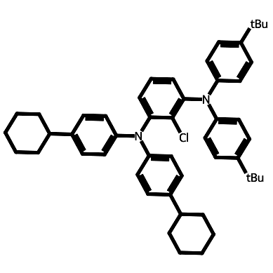 CC(C)(C)c1ccc(N(c2ccc(C(C)(C)C)cc2)c2cccc(N(c3ccc(C4CCCCC4)cc3)c3ccc(C4CCCCC4)cc3)c2Cl)cc1